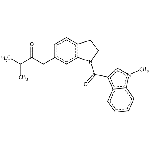 CC(C)C(=O)Cc1ccc2c(c1)N(C(=O)c1cn(C)c3ccccc13)CC2